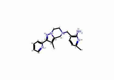 Cc1ccc(CN2CCn3nc(-c4ccccn4)c(C)c3C2)c(N)n1